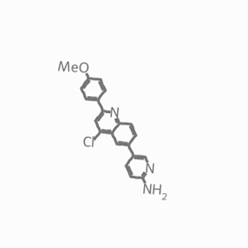 COc1ccc(-c2cc(Cl)c3cc(-c4ccc(N)nc4)ccc3n2)cc1